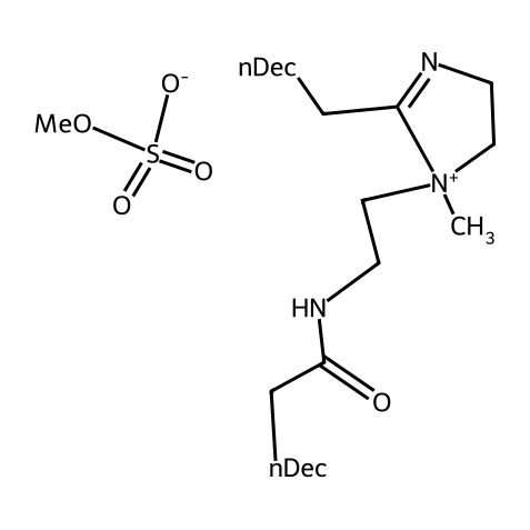 CCCCCCCCCCCC(=O)NCC[N+]1(C)CCN=C1CCCCCCCCCCC.COS(=O)(=O)[O-]